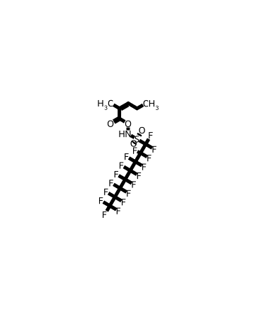 CCC=C(C)C(=O)ONS(=O)(=O)C(F)(F)C(F)(F)C(F)(F)C(F)(F)C(F)(F)C(F)(F)C(F)(F)C(F)(F)F